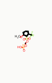 COc1cccc(C(F)(F)F)c1S(=O)(=O)OCO[PH](=O)O